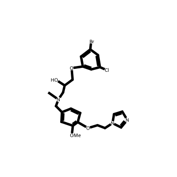 COc1cc(CN(C)CC(O)COc2cc(Cl)cc(Br)c2)ccc1OCCn1ccnc1